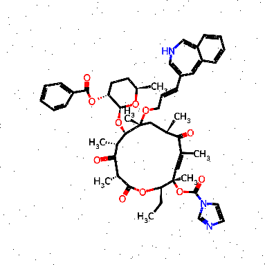 CC[C@H]1OC(=O)[C@H](C)C(=O)[C@H](C)[C@@H](O[C@@H]2O[C@H](C)CC[C@H]2OC(=O)c2ccccc2)[C@](C)(OC/C=C/C2=CNC=c3ccccc3=C2)C[C@@H](C)C(=O)/C(C)=C/[C@]1(C)OC(=O)n1ccnc1